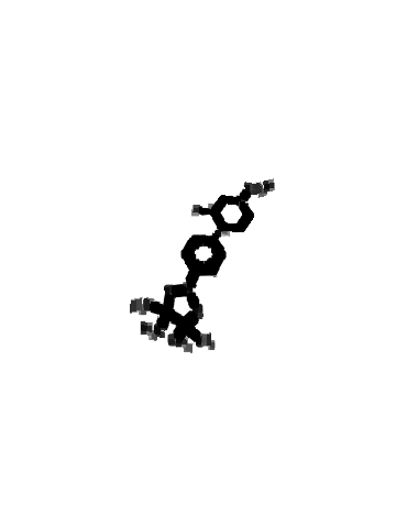 CC1(C)OB(c2ccc([C@H]3CCN(C(=O)O)C[C@@H]3F)cc2)OC1(C)C